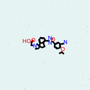 CC(C)Oc1ccc(-c2nc(-c3cccc4c3CCC43CCN(CC(=O)O)C3)no2)cc1C#N